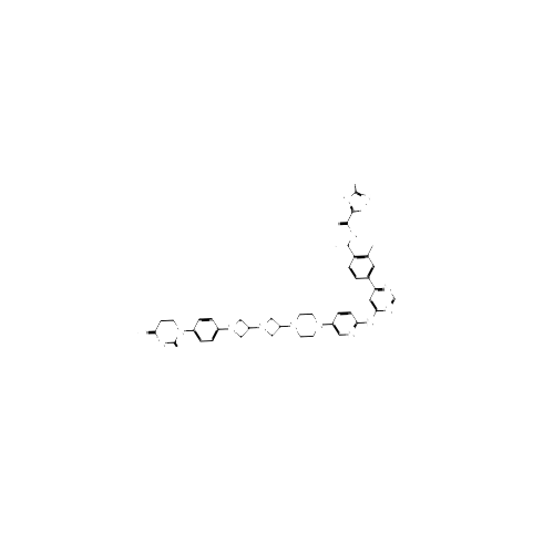 Cc1cc(-c2cc(Nc3ccc(N4CCN(C5CN(C6CN(c7ccc(N8CCC(=O)NC8=O)cc7)C6)C5)CC4)cn3)ncn2)ccc1[C@@H](C)NC(=O)c1nc(C(C)(C)C)no1